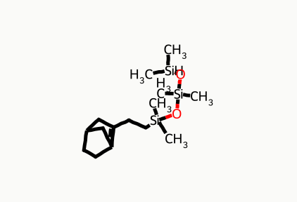 C[SiH](C)O[Si](C)(C)O[Si](C)(C)CCC1=C2CCC(C2)C1